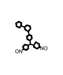 O=Nc1ccc(C(c2ccc(N=O)cc2)c2ccc(-c3cccc(-c4ccccc4)c3)cc2)cc1